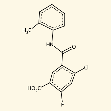 Cc1ccccc1NC(=O)c1cc(C(=O)O)c(F)cc1Cl